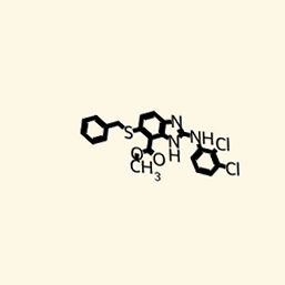 COC(=O)c1c(SCc2ccccc2)ccc2nc(Nc3cccc(Cl)c3Cl)[nH]c12